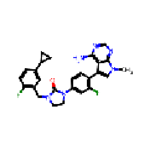 Cn1cc(-c2ccc(N3CCN(Cc4cc(C5CC5)ccc4F)C3=O)cc2F)c2c(N)ncnc21